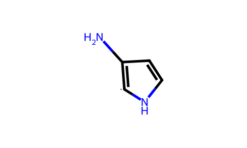 Nc1[c][nH]cc1